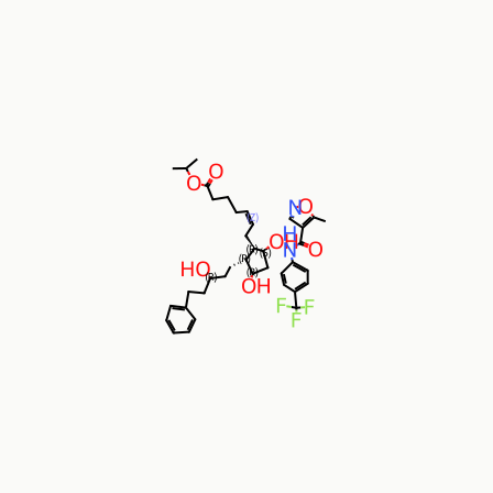 CC(C)OC(=O)CCC/C=C\C[C@@H]1[C@@H](CC[C@@H](O)CCc2ccccc2)[C@H](O)C[C@@H]1O.Cc1oncc1C(=O)Nc1ccc(C(F)(F)F)cc1